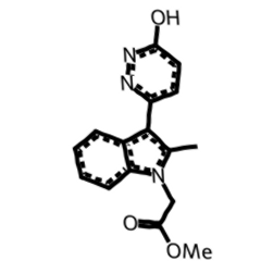 COC(=O)Cn1c(C)c(-c2ccc(O)nn2)c2ccccc21